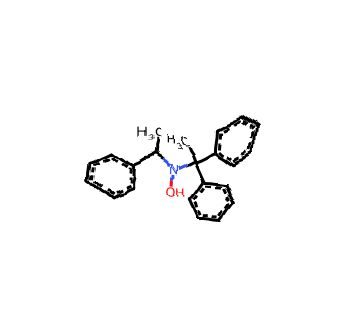 CC(c1ccccc1)N(O)C(C)(c1ccccc1)c1ccccc1